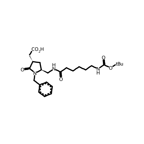 CC(C)(C)OC(=O)NCCCCCC(=O)NC[C@@H]1C[C@@H](CC(=O)O)C(=O)N1Cc1ccccc1